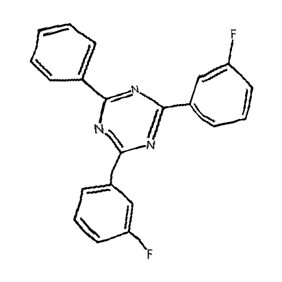 Fc1cccc(-c2nc(-c3ccccc3)nc(-c3cccc(F)c3)n2)c1